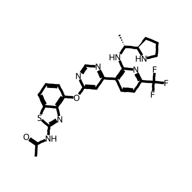 CC(=O)Nc1nc2c(Oc3cc(-c4ccc(C(F)(F)F)nc4N[C@H](C)[C@H]4CCCN4)ncn3)cccc2s1